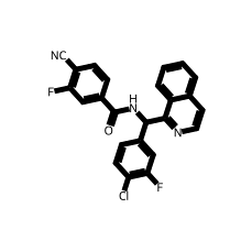 N#Cc1ccc(C(=O)NC(c2ccc(Cl)c(F)c2)c2nccc3ccccc23)cc1F